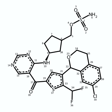 NS(=O)(=O)OCC1CC[C@H](Nc2ncncc2C(=O)c2cc(C3OCCc4ccc(Cl)cc43)c(C(F)F)s2)C1